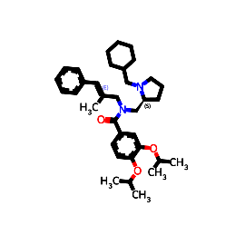 C/C(=C\c1ccccc1)CN(C[C@@H]1CCCN1CC1CCCCC1)C(=O)c1ccc(OC(C)C)c(OC(C)C)c1